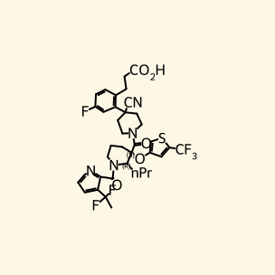 CCC[C@H]1N(C(=O)c2ncccc2C(C)(F)F)CCC[C@@]1(Oc1csc(C(F)(F)F)c1)C(=O)N1CCC(C#N)(c2cc(F)ccc2CCC(=O)O)CC1